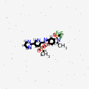 CCN=S(=O)(c1ccc2oc(-c3ncc(-c4ncccn4)cc3S(=O)(=O)CC)nc2c1)C(F)(F)F